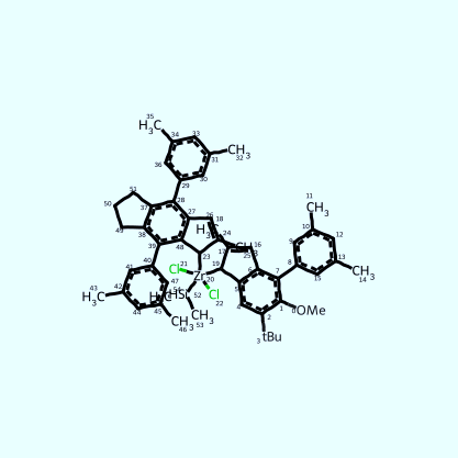 COc1c(C(C)(C)C)cc2c(c1-c1cc(C)cc(C)c1)C=C(C)[CH]2[Zr]([Cl])([Cl])([CH]1C(C)=Cc2c(-c3cc(C)cc(C)c3)c3c(c(-c4cc(C)cc(C)c4)c21)CCC3)[SiH](C)C